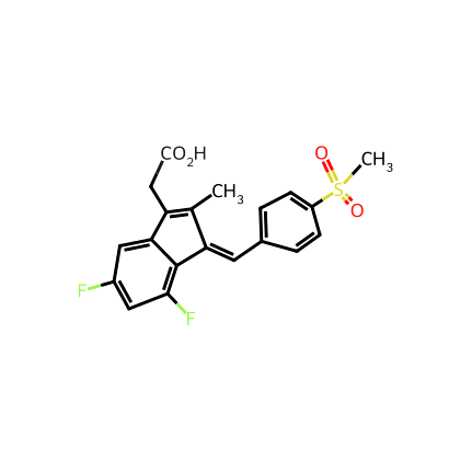 CC1=C(CC(=O)O)c2cc(F)cc(F)c2C1=Cc1ccc(S(C)(=O)=O)cc1